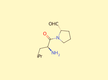 CC(C)C[C@H](N)C(=O)N1CCC[C@H]1C=O